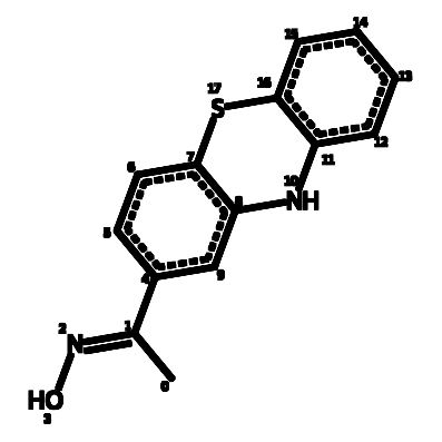 C/C(=N\O)c1ccc2c(c1)Nc1ccccc1S2